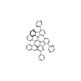 c1ccc(-c2cnc3c(n2)c2c(-c4cnccn4)ccc4c5ccc(-c6cnccn6)c6c7nccnc7n(c(=C(c7cccc8ccccc78)c7cccc8ccccc78)n3c42)c56)cc1